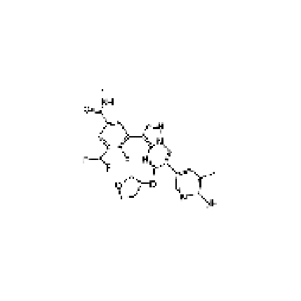 CNC(=O)c1cc(-c2cnn3cc(-c4cnc(NC)c(C)c4)c(OC4CCOC4)nc23)c(F)c(C(F)F)c1